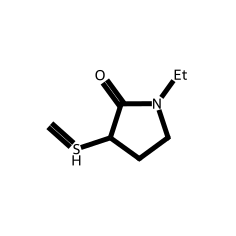 C=[SH]C1CCN(CC)C1=O